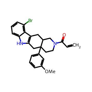 C=CC(=O)N1CCC2(c3cccc(OC)c3)Cc3[nH]c4cccc(Br)c4c3CC2C1